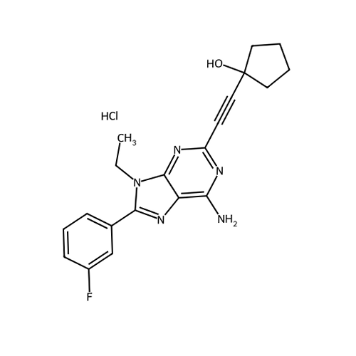 CCn1c(-c2cccc(F)c2)nc2c(N)nc(C#CC3(O)CCCC3)nc21.Cl